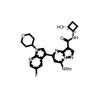 CNc1cc(-c2cn(C3CCOCC3)c3ncc(F)cc23)nc2c(C(=O)N[C@@H]3CC[C@H]3O)cnn12